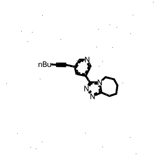 CCCCC#Cc1cncc(-c2nnc3n2CCCCC3)c1